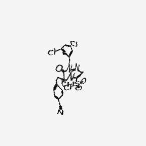 C[C@@]1(Cc2ccc(C#N)cc2)C(=O)N(c2cc(Cl)cc(Cl)c2)c2ncc(S(=O)(=O)Cl)n21